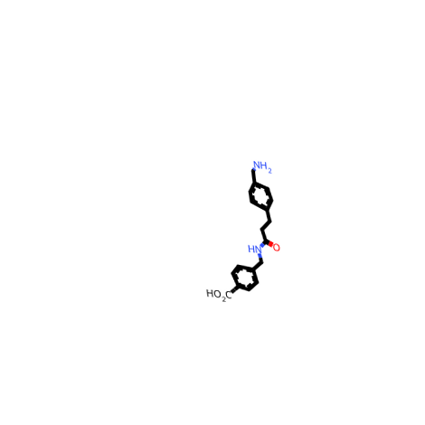 NCc1ccc(CCC(=O)NCc2ccc(C(=O)O)cc2)cc1